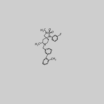 Cc1ccccc1-c1cccc(CN2CC[C@@]3(C[C@@H]2C)CN(C)S(=O)(=O)N3c2cccc(F)c2)c1